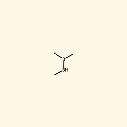 CBB(C)F